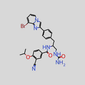 CC(C)Oc1ccc(C(=O)NC(CNC(N)=O)Cc2ccc(-c3cn4cccc(Br)c4n3)cc2)cc1C#N